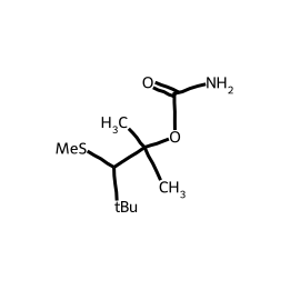 CSC(C(C)(C)C)C(C)(C)OC(N)=O